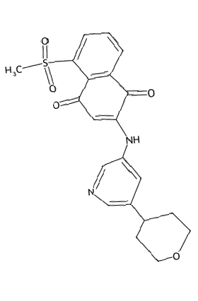 CS(=O)(=O)c1cccc2c1C(=O)C=C(Nc1cncc(C3CCOCC3)c1)C2=O